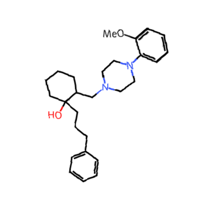 COc1ccccc1N1CCN(CC2CCCCC2(O)CCCc2ccccc2)CC1